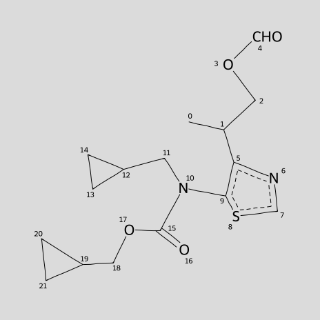 CC(COC=O)c1ncsc1N(CC1CC1)C(=O)OCC1CC1